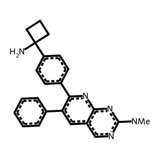 CNc1ncc2cc(-c3ccccc3)c(-c3ccc(C4(N)CCC4)cc3)nc2n1